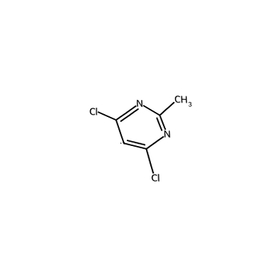 Cc1nc(Cl)[c]c(Cl)n1